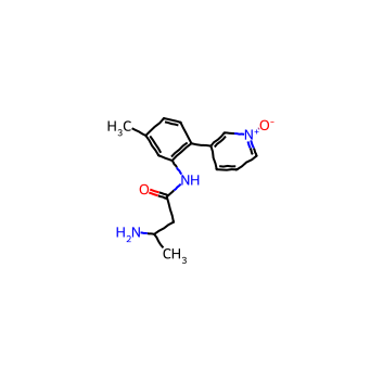 Cc1ccc(-c2ccc[n+]([O-])c2)c(NC(=O)CC(C)N)c1